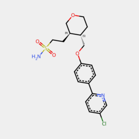 NS(=O)(=O)CC[C@H]1COCC[C@@H]1COc1ccc(-c2ccc(Cl)cn2)cc1